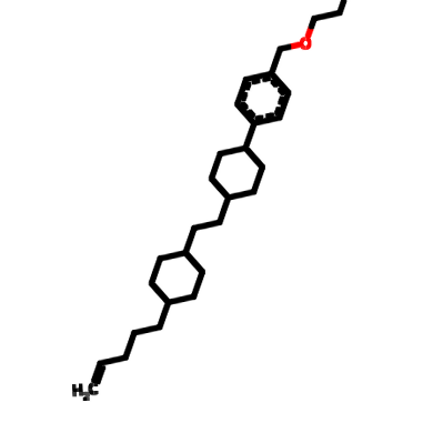 C=CCCCC1CCC(CCC2CCC(c3ccc(COCCC)cc3)CC2)CC1